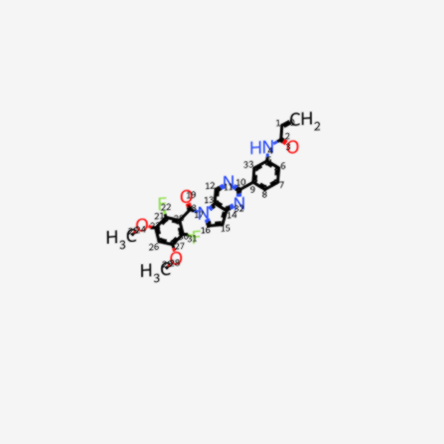 C=CC(=O)Nc1cccc(-c2ncc3c(ccn3C(=O)c3c(F)c(OC)cc(OC)c3F)n2)c1